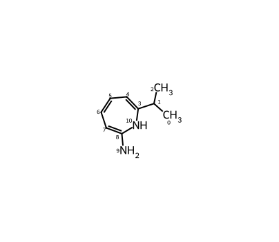 CC(C)C1=CC=CC=C(N)N1